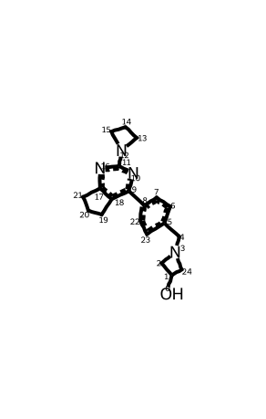 OC1CN(Cc2ccc(-c3nc(N4CCC4)nc4c3CCC4)cc2)C1